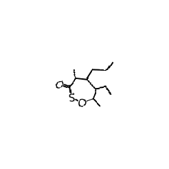 CCCC1C(C)C(=O)SOC(C)C1CC